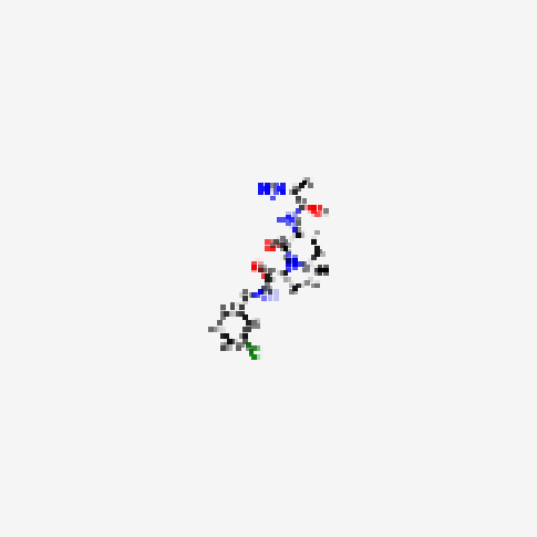 C[C@H](N)C(=O)N[C@H]1CC[C@H]2CC[C@@H](C(=O)NCc3cccc(Cl)c3)N2C1=O